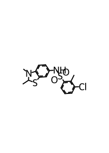 Cc1c(Cl)cccc1S(=O)(=O)Nc1ccc2c(c1)SC(C)N2C